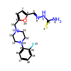 NC(=S)NN=Cc1ccc(CN2CCN(c3ccccc3F)CC2)o1